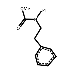 COC(=O)N(CCc1ccccc1)C(C)C